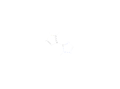 Cn1ncnc1-c1ccsc1Cl